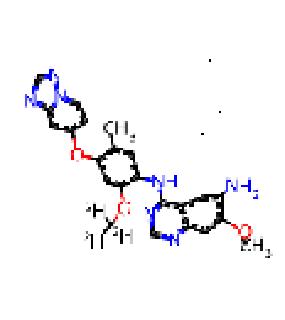 [2H]C([2H])([2H])Oc1cc(Oc2ccn3ncnc3c2)c(C)cc1Nc1ncnc2cc(OC)c(N)cc12